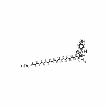 CCCCCCCCCCCCCCCCCCCCCCCCCCCCCCCC(C)NC(=O)Nc1ccc(O)cc1